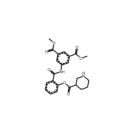 COC(=O)c1cc(NC(=O)c2ccccc2OC(=O)C2CCCNC2)cc(C(=O)OC)c1